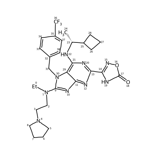 CCN(CCN1CCCC1)c1nc2nc(-c3noc(=O)[nH]3)nc(N[C@H](C)C3CCC3)c2n1Cc1ccc(C(F)(F)F)cc1